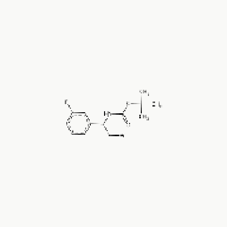 CC(C)(C)OC(=O)NC(CBr)c1cccc(F)c1